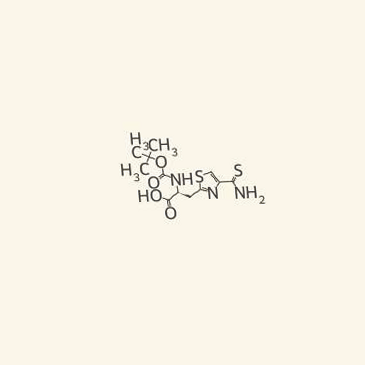 CC(C)(C)OC(=O)N[C@@H](Cc1nc(C(N)=S)cs1)C(=O)O